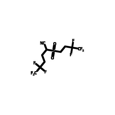 N#CC(CCC(F)(F)C(F)(F)F)S(=O)(=O)CCC(F)(F)C(F)(F)F